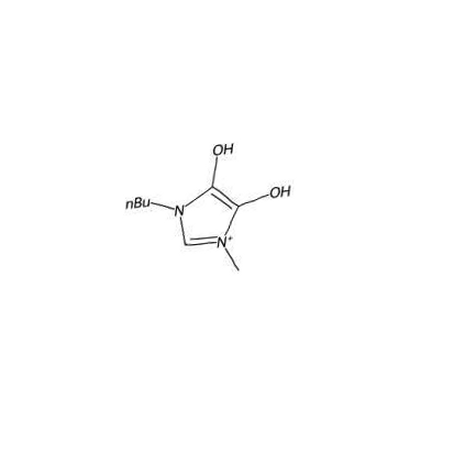 CCCCn1c[n+](C)c(O)c1O